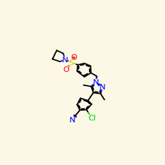 Cc1nn(Cc2ccc(S(=O)(=O)N3CCCC3)cc2)c(C)c1-c1ccc(C#N)c(Cl)c1